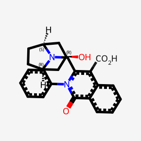 O=C(O)c1c(CN2[C@@H]3CC[C@H]2C[C@@H](O)C3)n(-c2ccccc2)c(=O)c2ccccc12